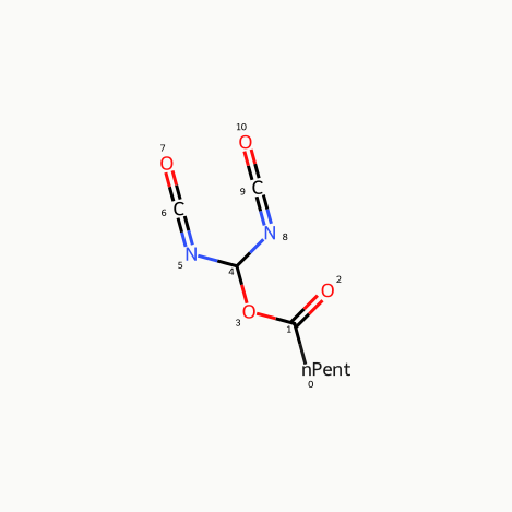 CCCCCC(=O)OC(N=C=O)N=C=O